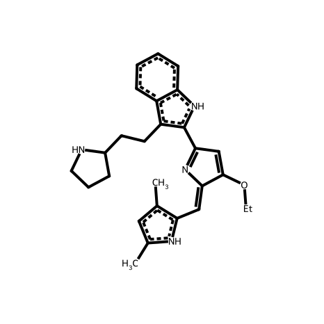 CCOC1=CC(c2[nH]c3ccccc3c2CCC2CCCN2)=NC1=Cc1[nH]c(C)cc1C